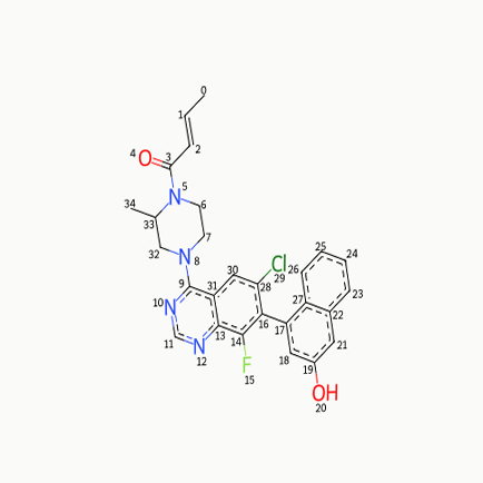 CC=CC(=O)N1CCN(c2ncnc3c(F)c(-c4cc(O)cc5ccccc45)c(Cl)cc23)CC1C